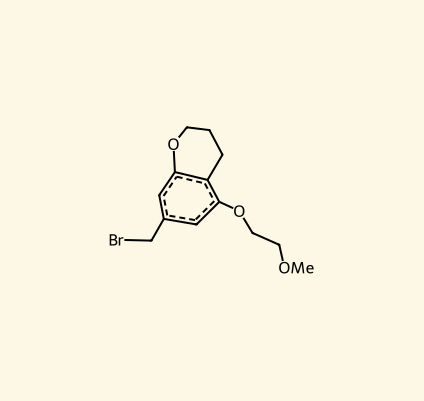 COCCOc1cc(CBr)cc2c1CCCO2